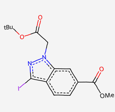 COC(=O)c1ccc2c(I)nn(CC(=O)OC(C)(C)C)c2c1